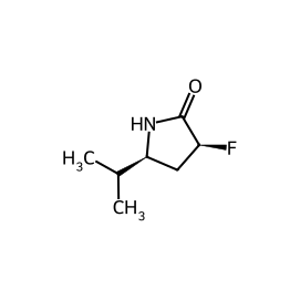 CC(C)[C@@H]1C[C@H](F)C(=O)N1